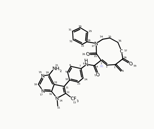 C=C1/C=C(/C(=O)Nc2ccc(-c3c(C(F)(F)F)n(C)c4ncnc(N)c34)cc2)C(=O)N(c2ccccc2)CCCCC1=O